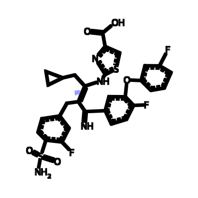 N=C(/C(Cc1ccc(S(N)(=O)=O)c(F)c1)=C(/CC1CC1)Nc1nc(C(=O)O)cs1)c1ccc(F)c(Oc2cccc(F)c2)c1